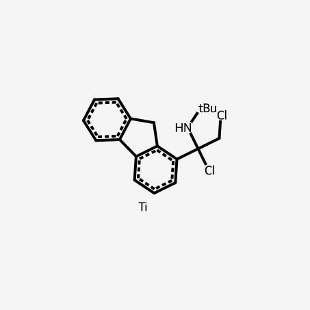 CC(C)(C)NC(Cl)(CCl)c1cccc2c1Cc1ccccc1-2.[Ti]